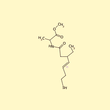 CCC(/C=C/CCS)CC(=O)NC(C)C(=O)OC